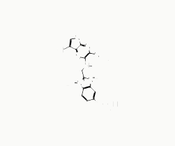 CCn1c(CN(C=O)c2nc3c(Cl)c[nH]c3nc2N)[n+](CC)c2ccc(C(=O)O)cc21